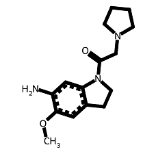 COc1cc2c(cc1N)N(C(=O)CN1CCCC1)CC2